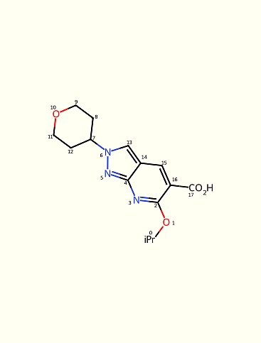 CC(C)Oc1nc2nn(C3CCOCC3)cc2cc1C(=O)O